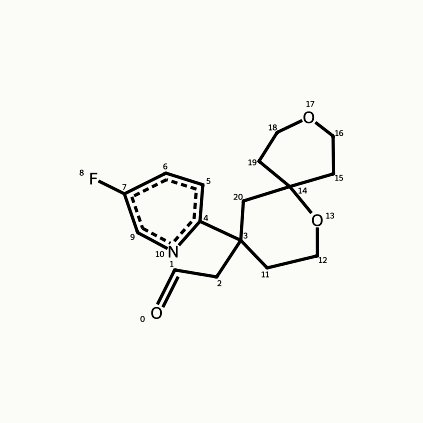 O=CCC1(c2ccc(F)cn2)CCOC2(CCOCC2)C1